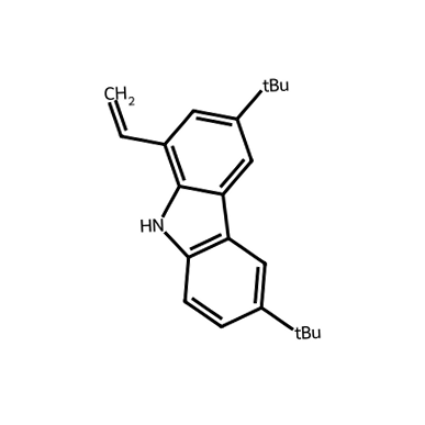 C=Cc1cc(C(C)(C)C)cc2c1[nH]c1ccc(C(C)(C)C)cc12